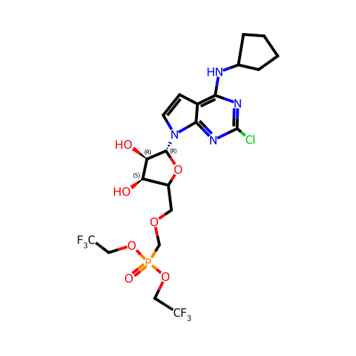 O=P(COCC1O[C@@H](n2ccc3c(NC4CCCC4)nc(Cl)nc32)[C@H](O)[C@@H]1O)(OCC(F)(F)F)OCC(F)(F)F